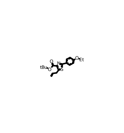 C=CCc1sc(-c2ccc(OCC)cc2)nc1C(=O)OC(C)(C)C